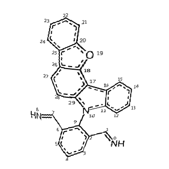 N=Cc1cccc(C=N)c1-n1c2ccccc2c2c3oc4ccccc4c3ccc21